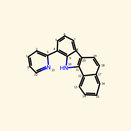 c1ccc(-c2cccc3c2[nH]c2c4ccccc4ccc32)nc1